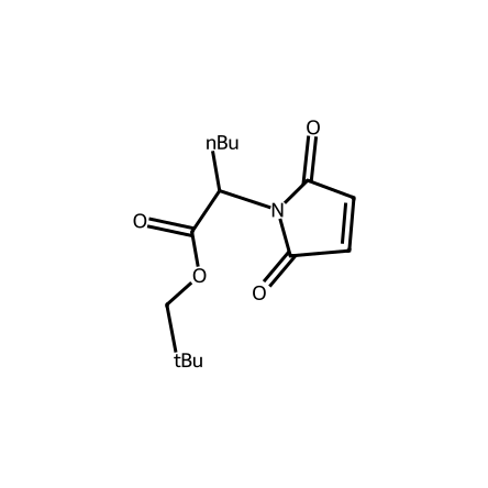 CCCCC(C(=O)OCC(C)(C)C)N1C(=O)C=CC1=O